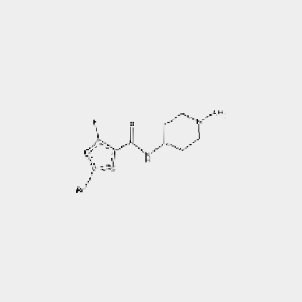 CN1CCC(NC(=O)c2sc(Br)cc2F)CC1